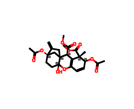 C=C1C[C@]23C[C@@]1(OC(C)=O)CC[C@@]2(O)OC1=C([C@@H]3C(=O)OC)[C@](C)(C(=O)OC)[C@@H](OC(C)=O)C=C1